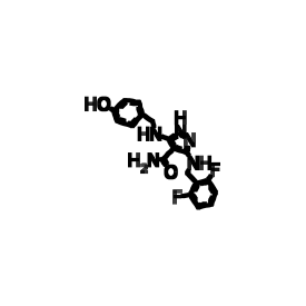 NC(=O)c1c(NCc2c(F)cccc2F)n[nH]c1NCc1ccc(O)cc1